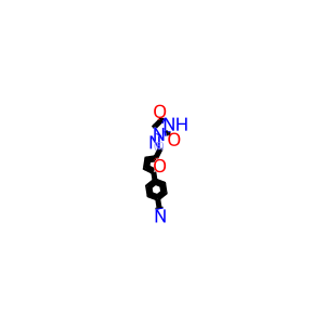 N#Cc1ccc(-c2ccc(/C=N/N3CC(=O)NC3=O)o2)cc1